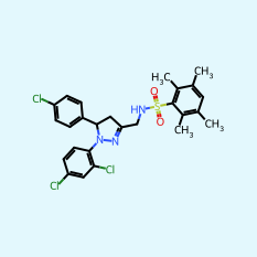 Cc1cc(C)c(C)c(S(=O)(=O)NCC2=NN(c3ccc(Cl)cc3Cl)C(c3ccc(Cl)cc3)C2)c1C